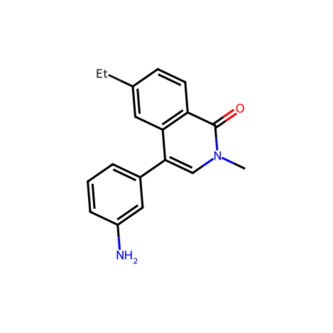 CCc1ccc2c(=O)n(C)cc(-c3cccc(N)c3)c2c1